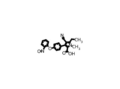 CCc1c(C#N)c(-c2ccc(Oc3ccccc3N=O)cc2)c(C(=O)O)n1C